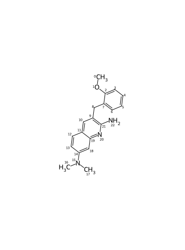 COc1ccccc1Cc1cc2ccc(N(C)C)cc2nc1N